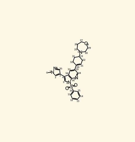 Cn1cc(-c2cn(S(=O)(=O)c3ccccc3)c3ncc(C4=CCC(N5CCCOCC5)CC4)cc23)cn1